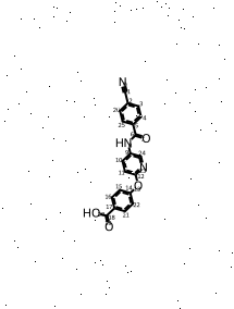 N#Cc1ccc(C(=O)Nc2ccc(Oc3ccc(C(=O)O)cc3)nc2)cc1